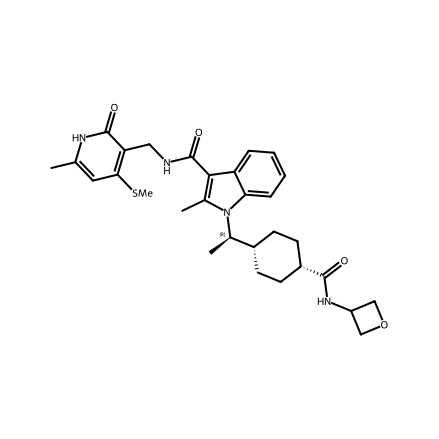 CSc1cc(C)[nH]c(=O)c1CNC(=O)c1c(C)n([C@H](C)[C@H]2CC[C@@H](C(=O)NC3COC3)CC2)c2ccccc12